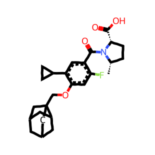 C[C@H]1CC[C@@H](C(=O)O)N1C(=O)c1cc(C2CC2)c(OCC23CC4CC(CC2C4)C3)cc1F